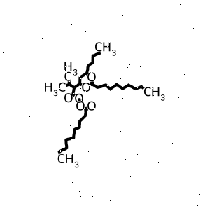 CCCCCCCCCC(=O)OOC(=O)C(C(C)C)C(CCCCCCC)OC(=O)CCCCCCCCC